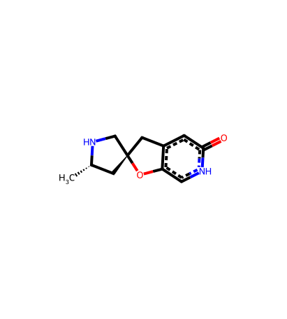 C[C@H]1C[C@@]2(CN1)Cc1cc(=O)[nH]cc1O2